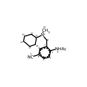 CC(=O)Nc1ccc(C#N)cc1CN(C)C1CCCCC1